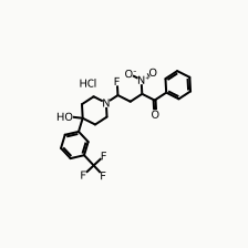 Cl.O=C(c1ccccc1)C(CC(F)N1CCC(O)(c2cccc(C(F)(F)F)c2)CC1)[N+](=O)[O-]